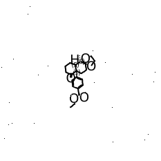 CCOC(=O)c1ccc([C@]23CCC4(OCCO4)[C@@H](C)[C@@H]2CCCC3=O)cc1